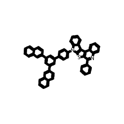 c1ccc(-c2nc3ccccc3c3c2sc2c3c3ccccc3n2-c2ccc(-c3cc(-c4ccc5ccccc5c4)cc(-c4ccc5ccccc5c4)c3)cc2)cc1